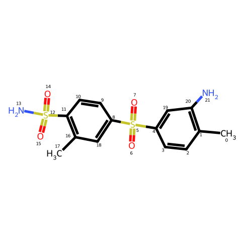 Cc1ccc(S(=O)(=O)c2ccc(S(N)(=O)=O)c(C)c2)cc1N